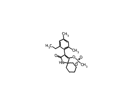 CCc1cc(C)cc(C)c1C1=C(OS(C)(=O)=O)C2(CCCCC2)NC1=O